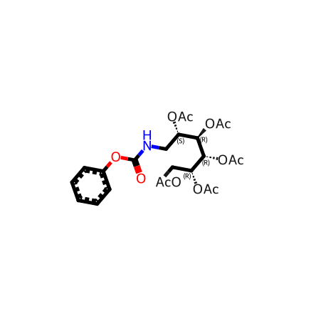 CC(=O)OC[C@@H](OC(C)=O)[C@@H](OC(C)=O)[C@H](OC(C)=O)[C@H](CNC(=O)Oc1ccccc1)OC(C)=O